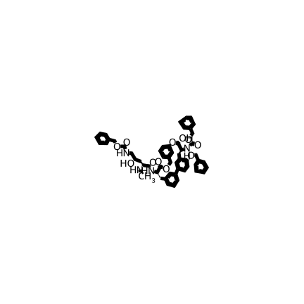 CN[C@@H](C[C@@H](O)CNC(=O)OCc1ccccc1)C(=O)N[C@@H](Cc1cccc(-c2ccc(OCc3ccccc3)c(C[C@H](NC(=O)OCc3ccccc3)C(=O)O)c2)c1)C(=O)OCc1ccccc1